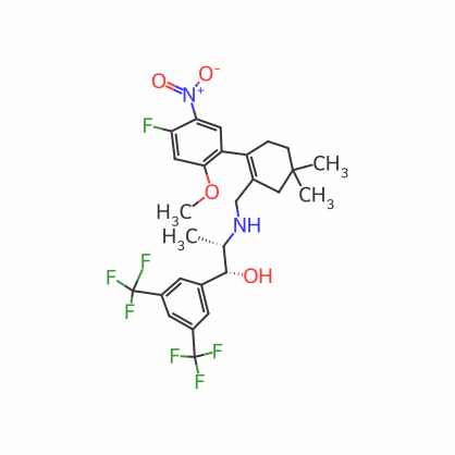 COc1cc(F)c([N+](=O)[O-])cc1C1=C(CN[C@@H](C)[C@H](O)c2cc(C(F)(F)F)cc(C(F)(F)F)c2)CC(C)(C)CC1